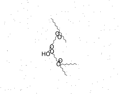 CCCCCCCCC(CCCCCC)OC(=O)CCCCCOCC(CO)OCCCCCC(=O)OC(CCCCCC)CCCCCCCC